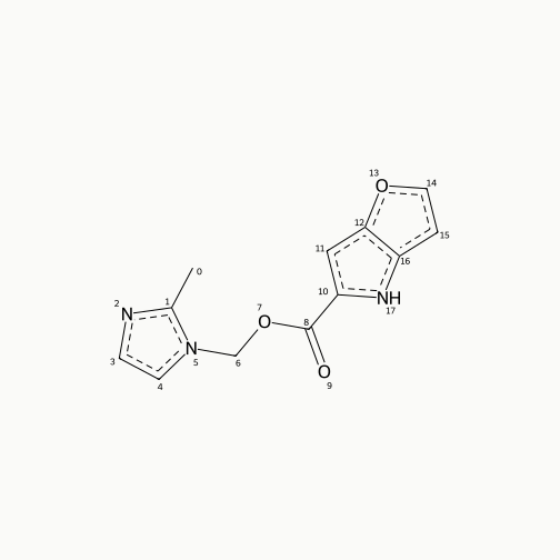 Cc1nccn1COC(=O)c1cc2occc2[nH]1